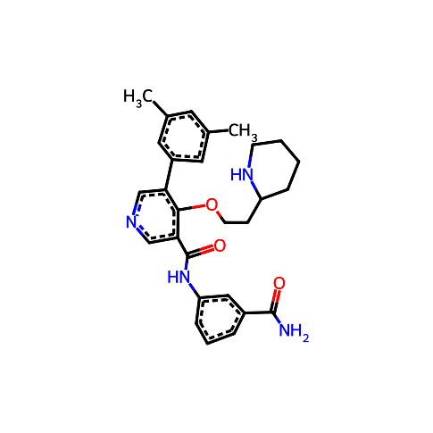 Cc1cc(C)cc(-c2cncc(C(=O)Nc3cccc(C(N)=O)c3)c2OCCC2CCCCN2)c1